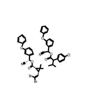 CC(C)C(C(=O)OC(C#N)c1cccc(Oc2ccccc2)c1)c1ccc(Cl)cc1.CC1(C)[C@H](C(=O)O[C@H](C#N)c2cccc(Oc3ccccc3)c2)[C@@H]1C=C(Br)Br